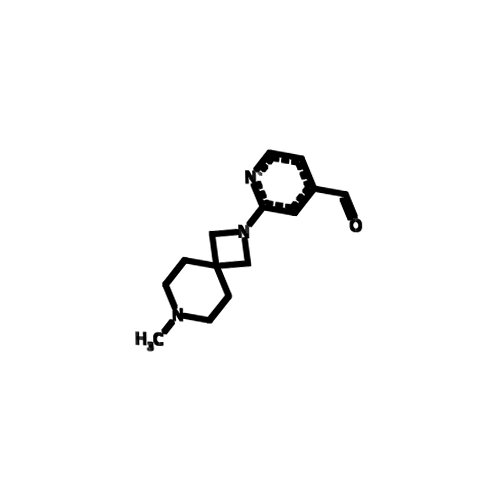 CN1CCC2(CC1)CN(c1cc(C=O)ccn1)C2